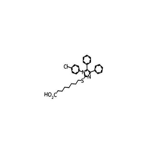 O=C(O)CCCCCCCSc1nc(-c2ccccc2)c(-c2ccccc2)n1-c1ccc(Cl)cc1